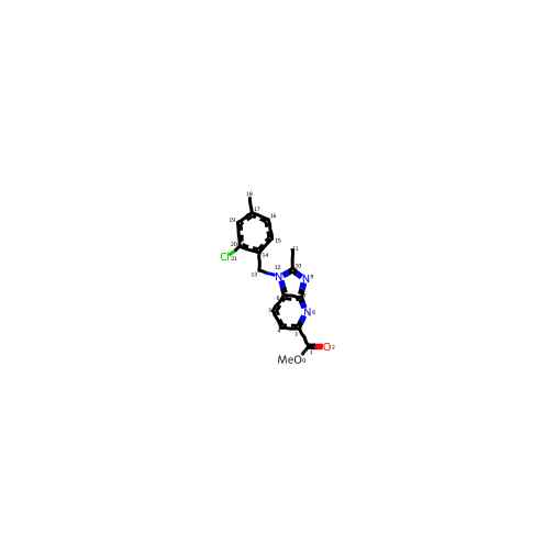 COC(=O)c1ccc2c(n1)nc(C)n2Cc1ccc(C)cc1Cl